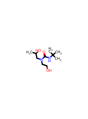 CC(O)CN(CCO)C(=O)NC(C)(C)C